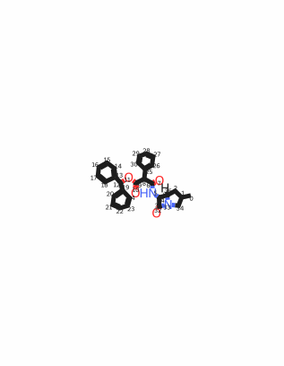 CC1C[C@@H]2C(NC(=O)C(C(=O)OC(c3ccccc3)c3ccccc3)c3ccccc3)C(=O)N2C1